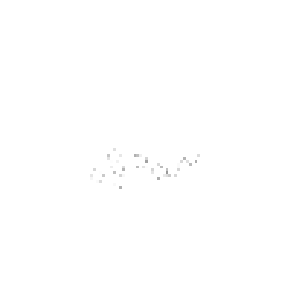 c1ccc(-c2c3ccccc3c(-c3ccc4sc5c6cc7c(cc6ccc5c4c3)sc3ccccc37)c3ccccc23)cc1